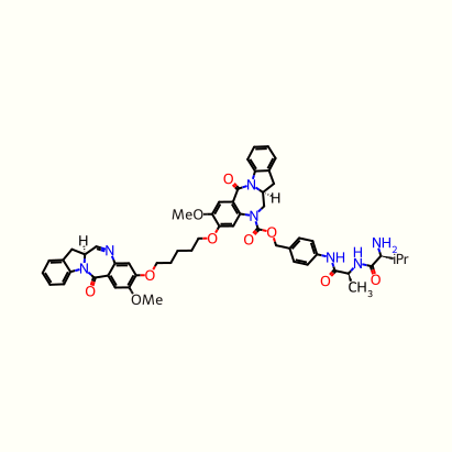 COc1cc2c(cc1OCCCCCOc1cc3c(cc1OC)C(=O)N1c4ccccc4C[C@H]1CN3C(=O)OCc1ccc(NC(=O)[C@H](C)NC(=O)[C@@H](N)C(C)C)cc1)N=C[C@@H]1Cc3ccccc3N1C2=O